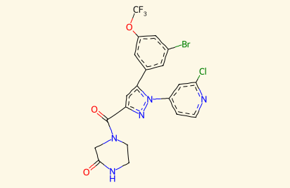 O=C1CN(C(=O)c2cc(-c3cc(Br)cc(OC(F)(F)F)c3)n(-c3ccnc(Cl)c3)n2)CCN1